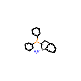 N[C@H]1c2ccccc2C[C@@H]1P(c1ccccc1)c1ccccc1